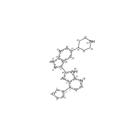 c1cc(-c2ccoc2)c2nc(-c3n[nH]c4ncc(C5CCNCC5)cc34)[nH]c2n1